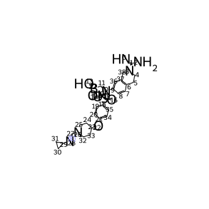 N=C(N)N1CCc2ccc(N(CB(O)O)S(=O)(=O)c3ccc(OC4CCN(/C=N/C5CC5)CC4)cc3)cc2C1